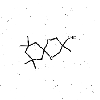 CC1(C)CC(C)(C)CC2(C1)OCC(C)(C=O)CO2